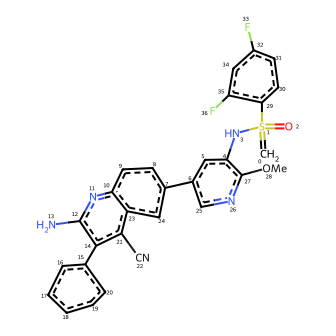 C=S(=O)(Nc1cc(-c2ccc3nc(N)c(-c4ccccc4)c(C#N)c3c2)cnc1OC)c1ccc(F)cc1F